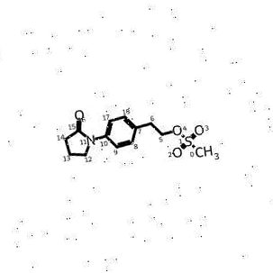 CS(=O)(=O)OCCc1ccc(N2CCCC2=O)cc1